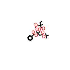 CCC(C)(C)C(=O)OCC(COCOC)(CC(=O)OC(C)(C)C)OC(=O)c1ccccc1